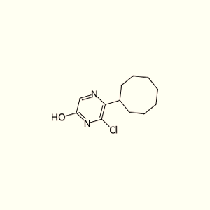 Oc1cnc(C2CCCCCCC2)c(Cl)n1